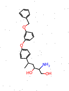 CC(CC(O)C(N)CO)c1ccc(Oc2cccc(OCc3ccccc3)c2)cc1